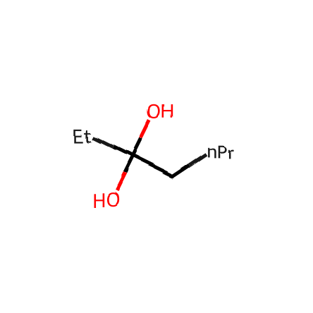 CCCCC(O)(O)CC